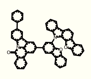 O=c1c2ccccc2c2cc(-c3cc(-n4c5ccccc5c5ccc6c7ccccc7oc6c54)c4oc5ccccc5c4c3)cc3c4cc(-c5ccccc5)ccc4n1c23